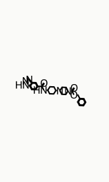 O=C(NC1CCC(N2CCN(C(=O)OCc3ccccc3)CC2)CC1)c1ccc2[nH]nnc2c1